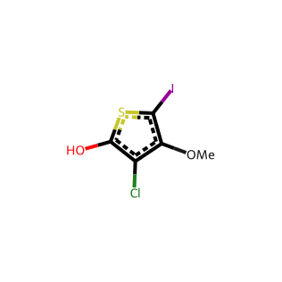 COc1c(I)sc(O)c1Cl